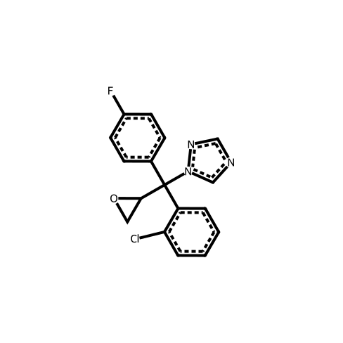 Fc1ccc(C(c2ccccc2Cl)(C2CO2)n2cncn2)cc1